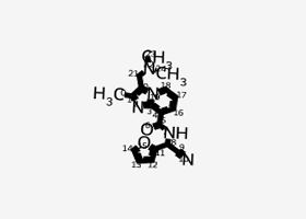 Cc1nc2c(C(=O)NC(C#N)c3ccco3)cccn2c1CN(C)C